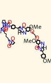 CCCCN(CC(=O)N1CCC[C@H]1C(=O)Nc1ccc(C2=CN3C(=O)c4cc(OC)c(OCCCOc5cc6c(cc5OC)C(=O)N5C=C(c7ccc(OC)cc7)C[C@H]5C=N6)cc4N=C[C@@H]3C2)cc1)C(=O)CCCCCN1C(=O)C=CC1=O